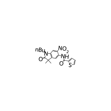 CCCCN1C(=O)C(C)(C)c2cc(NC(=O)c3cccs3)c([N+](=O)[O-])cc21